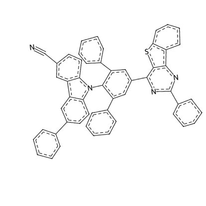 N#Cc1ccc2c(c1)c1cc(-c3ccccc3)ccc1n2-c1c(-c2ccccc2)cc(-c2nc(-c3ccccc3)nc3c2sc2ccccc23)cc1-c1ccccc1